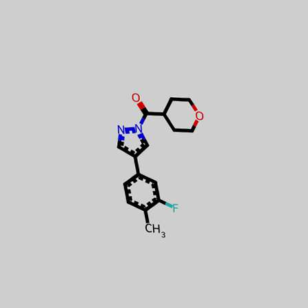 Cc1ccc(-c2cnn(C(=O)C3CCOCC3)c2)cc1F